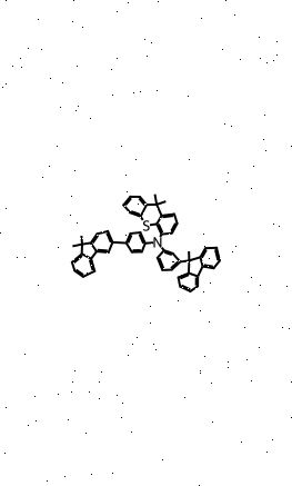 CC1(C)c2ccccc2-c2cc(-c3ccc(N(c4cccc(C5(C)c6ccccc6-c6ccccc65)c4)c4cccc5c4Sc4ccccc4C5(C)C)cc3)ccc21